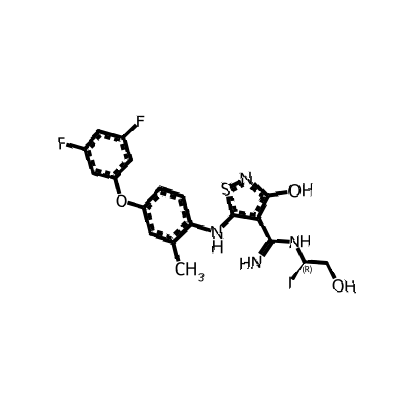 Cc1cc(Oc2cc(F)cc(F)c2)ccc1Nc1snc(O)c1C(=N)N[C@H](I)CO